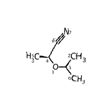 CC(C)O[C@@H](C)C#N